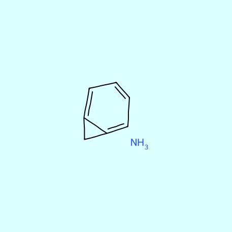 N.c1ccc2c(c1)C2